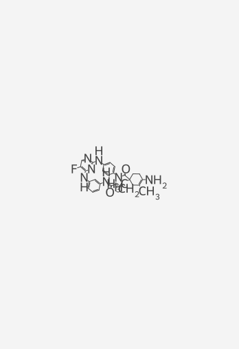 C=CC(=O)Nc1cccc(Nc2nc(Nc3ccc(NC(=O)C4(C)CCC(N)=C(C)C4)cc3)ncc2F)c1